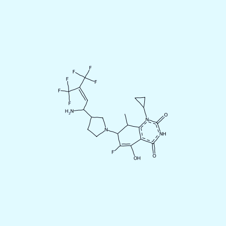 CC1c2c(c(=O)[nH]c(=O)n2C2CC2)C(O)=C(F)C1N1CCC(C(N)C=C(C(F)(F)F)C(F)(F)F)C1